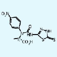 C[C@@H](C(=O)O)N(C(=O)Nc1n[nH]c(=S)s1)c1ccc([N+](=O)[O-])cc1